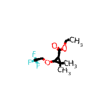 CCOC(=O)C1C(OCC(F)(F)F)C1(C)C